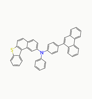 c1ccc(N(c2ccc(-c3cc4ccccc4c4ccccc34)cc2)c2ccc3ccc4sc5ccccc5c4c3c2)cc1